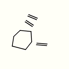 C1CCCCC1.C=C.C=C.C=C